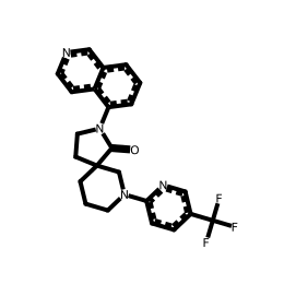 O=C1N(c2cccc3cnccc23)CCC12CCCN(c1ccc(C(F)(F)F)cn1)C2